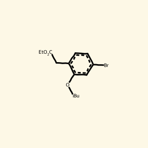 CCOC(=O)Cc1ccc(Br)cc1OC(C)CC